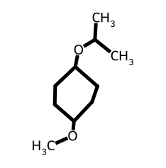 COC1CCC(OC(C)C)CC1